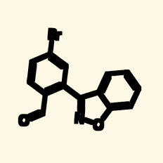 O=Cc1ccc(Br)cc1-c1noc2ccccc12